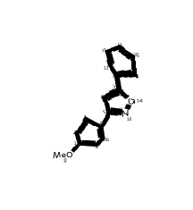 COc1ccc(-c2cc(-c3ccccc3)on2)cc1